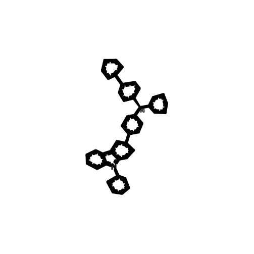 c1ccc(-c2ccc([C@@H](c3ccccc3)c3ccc(-c4ccc5c(c4)c4ccccc4n5-c4ccccc4)cc3)cc2)cc1